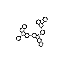 c1ccc(-n2c3ccc(-c4ccc5c(c4)c4cc6ccccc6cc4n5-c4cccc(-c5cc6c7c(cccc7c5)-c5ccccc5-6)c4)cc3c3c4ccccc4ccc32)cc1